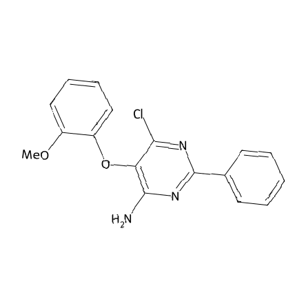 COc1ccccc1Oc1c(N)nc(-c2ccccc2)nc1Cl